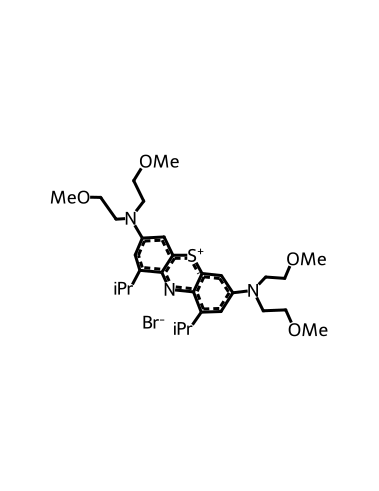 COCCN(CCOC)c1cc(C(C)C)c2nc3c(C(C)C)cc(N(CCOC)CCOC)cc3[s+]c2c1.[Br-]